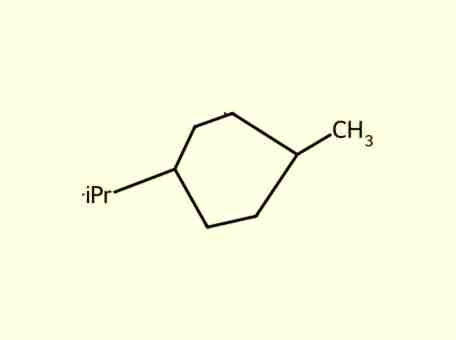 C[C](C)C1C[CH]C(C)CC1